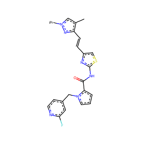 Cc1cn(C(C)C)nc1C=Cc1csc(NC(=O)c2cccn2Cc2ccnc(F)c2)n1